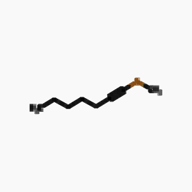 CCCCCC#CSC